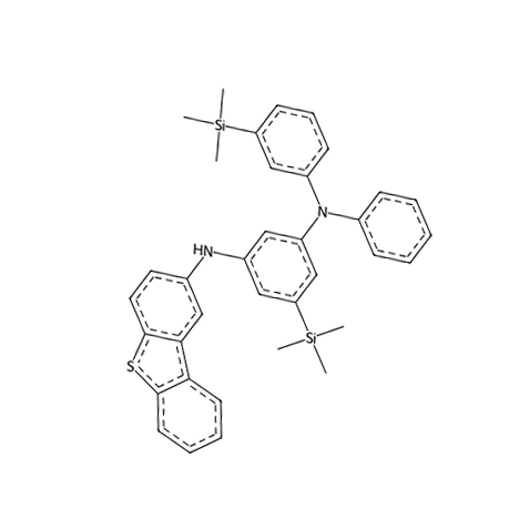 C[Si](C)(C)c1cccc(N(c2ccccc2)c2cc(Nc3ccc4sc5ccccc5c4c3)cc([Si](C)(C)C)c2)c1